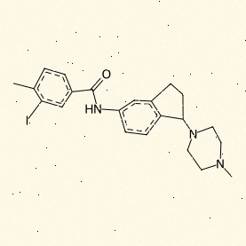 Cc1ccc(C(=O)Nc2ccc3c(c2)CCC3N2CCN(C)CC2)cc1I